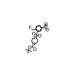 CC(C)(C)OC(=O)N1CCN(S(=O)(=O)c2cc([N+](=O)[O-])ccc2CF)CC1